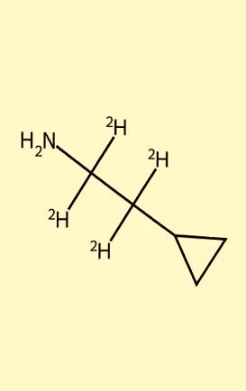 [2H]C([2H])(N)C([2H])([2H])C1CC1